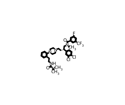 CN(C)C(=O)NCCc1ccccc1N1CCN(CC[C@H](CN(C)C(=O)c2cc(F)cc(C(F)(F)F)c2)c2ccc(Cl)c(Cl)c2)CC1